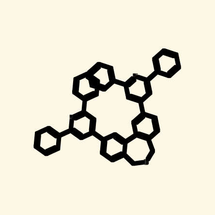 c1ccc(-c2cc(-c3ccc4c(c3)-c3cc(-c5cc(-c6ccccc6)nc(-c6ccccc6)c5)ccc3COC4)cc(-c3ccccc3)n2)cc1